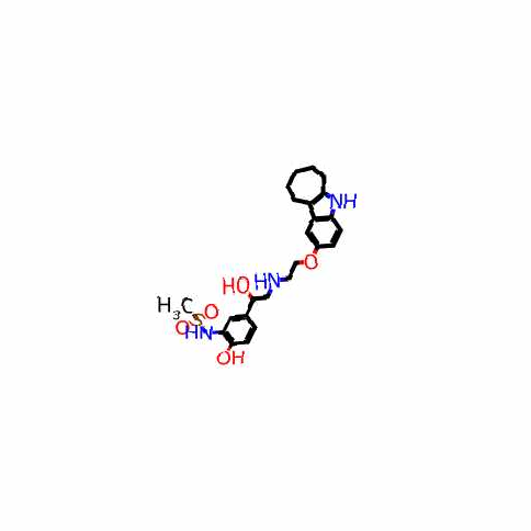 CS(=O)(=O)Nc1cc(C(O)CNCCOc2ccc3[nH]c4c(c3c2)CCCCC4)ccc1O